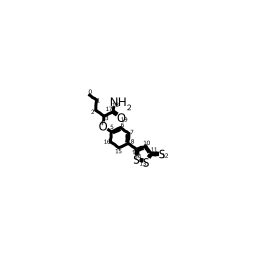 CCCC(OC1=CC=C(c2cc(=S)ss2)CC1)C(N)=O